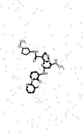 CNc1cc(Nc2cccn(-c3ncccc3F)c2=O)nc2c(C(=O)NC3CC[C@H](OC)C3)cnn12